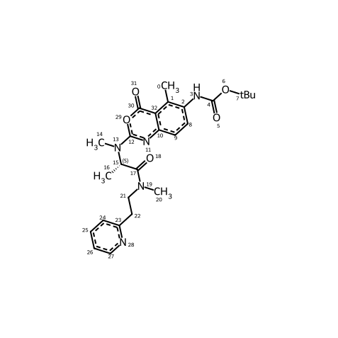 Cc1c(NC(=O)OC(C)(C)C)ccc2nc(N(C)[C@@H](C)C(=O)N(C)CCc3ccccn3)oc(=O)c12